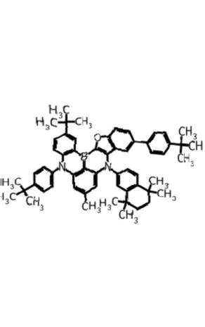 Cc1cc2c3c(c1)N(c1ccc4c(c1)C(C)(C)CCC4(C)C)c1c(oc4ccc(-c5ccc(C(C)(C)C)cc5)cc14)B3c1cc(C(C)(C)C)ccc1N2c1ccc(C(C)(C)C)cc1